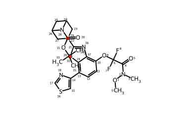 CON(C)C(=O)C(F)(F)Oc1ccc(-c2cscn2)c2oc(N3CC4CC(C3)N4C(=O)OC(C)(C)C)nc12